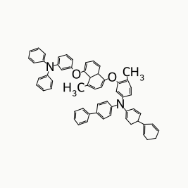 CC1=CC=C(Oc2cc(N(C3=CCC(C4=CCCC=C4)C=C3)c3ccc(-c4ccccc4)cc3)ccc2C)C2C=CC=C(Oc3cccc(N(c4ccccc4)c4ccccc4)c3)C12